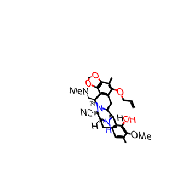 C=CCOc1c(C)c2c(c3c1CC1[C@@H]4N[C@@H](Cc5cc(C)c(OC)c(O)c54)[C@H](C#N)N1[C@H]3CNC)OCO2